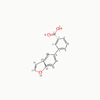 O=C(O)c1cccc(-c2ccc3occc3c2)c1